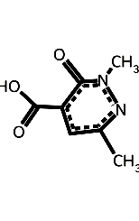 Cc1cc(C(=O)O)c(=O)n(C)n1